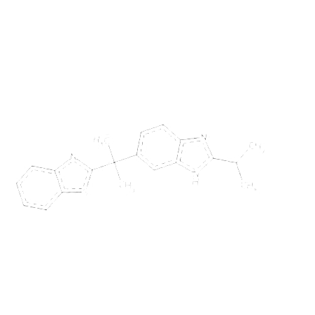 CC(C)c1nc2ccc(C(C)(C)c3nc4ccccc4s3)cc2[nH]1